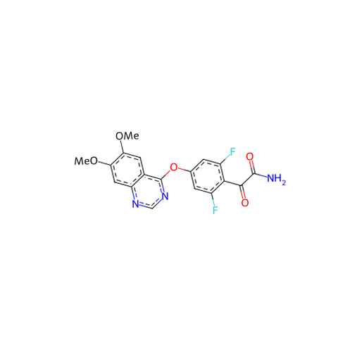 COc1cc2ncnc(Oc3cc(F)c(C(=O)C(N)=O)c(F)c3)c2cc1OC